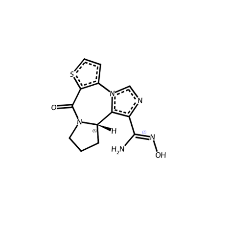 N/C(=N\O)c1ncn2c1[C@@H]1CCCN1C(=O)c1sccc1-2